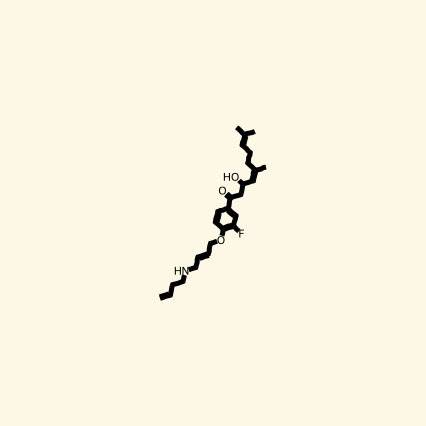 C=CCCNCC=CCOc1ccc(C(=O)CC(O)C=C(C)CCC=C(C)C)cc1F